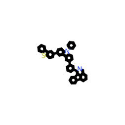 c1ccc(-n2c3ccc(-c4cccc(-c5ncc6cccc7c6c5-c5ccccc5-7)c4)cc3c3cc(-c4ccc5sc6ccccc6c5c4)ccc32)cc1